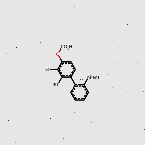 CCCCCc1ccccc1-c1ccc(OC(=O)O)c(CC)c1CC